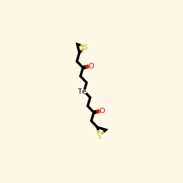 O=C(CC[Te]CCC(=O)CC1CS1)CC1CS1